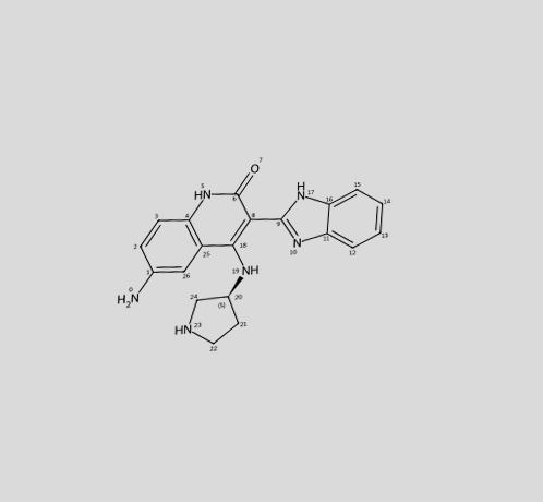 Nc1ccc2[nH]c(=O)c(-c3nc4ccccc4[nH]3)c(N[C@H]3CCNC3)c2c1